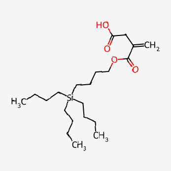 C=C(CC(=O)O)C(=O)OCCCC[Si](CCCC)(CCCC)CCCC